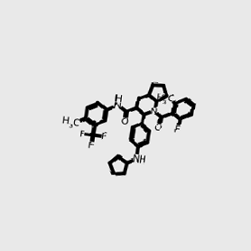 Cc1ccc(NC(=O)C2CC3CCCC3N(C(=O)c3c(C)cccc3F)C2c2ccc(NC3CCCC3)cc2)cc1C(F)(F)F